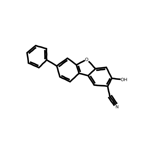 N#Cc1cc2c(cc1O)oc1cc(-c3ccccc3)ccc12